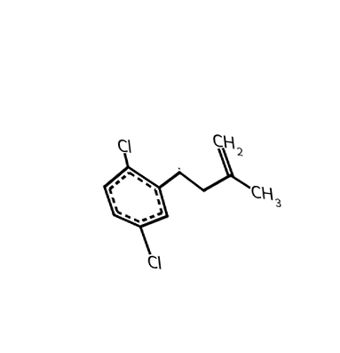 C=C(C)C[CH]c1cc(Cl)ccc1Cl